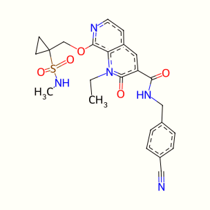 CCn1c(=O)c(C(=O)NCc2ccc(C#N)cc2)cc2ccnc(OCC3(S(=O)(=O)NC)CC3)c21